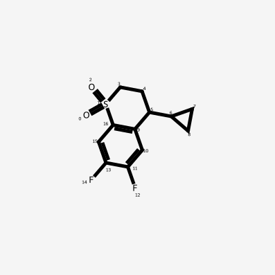 O=S1(=O)CCC(C2CC2)c2cc(F)c(F)cc21